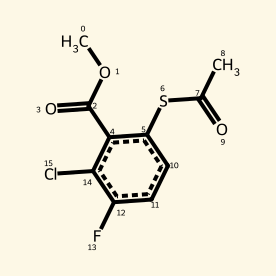 COC(=O)c1c(SC(C)=O)ccc(F)c1Cl